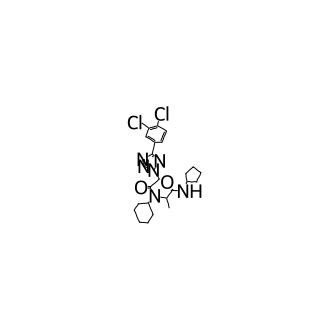 CC(C(=O)NC1CCCC1)N(C(=O)Cn1nnc(-c2ccc(Cl)c(Cl)c2)n1)C1CCCCC1